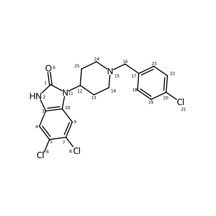 O=c1[nH]c2cc(Cl)c(Cl)cc2n1C1CCN(Cc2ccc(Cl)cc2)CC1